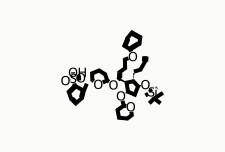 C#CCC[C@H]1[C@H](/C(=C\CCOc2ccccc2)OC2CCCCO2)[C@@H](OC2CCCCO2)C[C@H]1O[Si](C)(C)C(C)(C)C.Cc1ccccc1S(=O)(=O)O